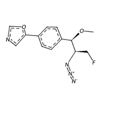 CO[C@H](c1ccc(-c2cnco2)cc1)[C@@H](CF)N=[N+]=[N-]